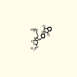 CCCCc1nc(Cl)c(CC(=O)OC)n1Cc1ccc(NC(=O)c2ccccc2C(=O)[O-])cc1.[Na+]